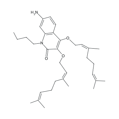 CCCCn1c(=O)c(OCC=C(C)CCC=C(C)C)c(OCC=C(C)CCC=C(C)C)c2ccc(N)cc21